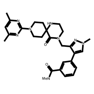 CNC(=O)c1cccc(-c2cn(C)nc2CN2CCNC3(CCN(c4nc(C)cc(C)n4)CC3)C2=O)c1